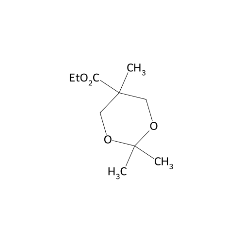 CCOC(=O)C1(C)COC(C)(C)OC1